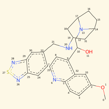 COc1ccc2nccc(C(O)CN3C4CCC3CC(NCc3ccc5nsnc5c3)C4)c2c1